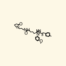 COc1cccc(-n2c(CCCCC(=O)NCCCN3CCCC3=O)nnc2SCc2ccc(C)cc2)c1